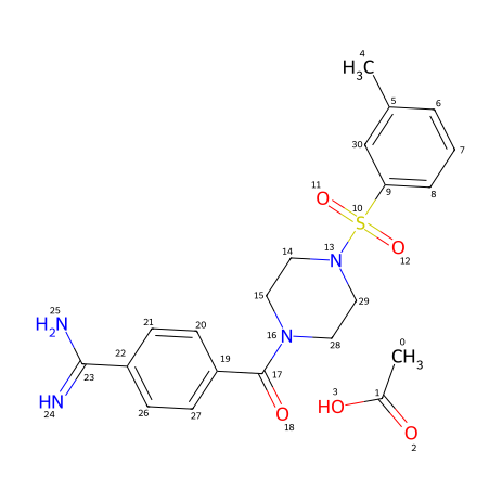 CC(=O)O.Cc1cccc(S(=O)(=O)N2CCN(C(=O)c3ccc(C(=N)N)cc3)CC2)c1